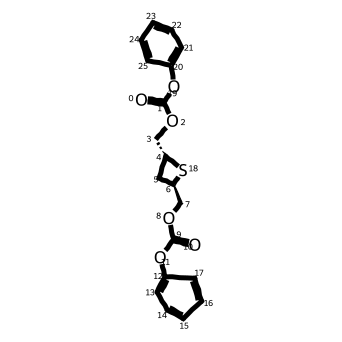 O=C(OC[C@H]1C[C@H](COC(=O)Oc2ccccc2)S1)Oc1ccccc1